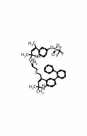 C=CCSCC1=CC(C)(C)Nc2ccc(-c3ccccc3-c3ccccc3)cc21.CC1=CC(C)(C)Nc2ccc(OS(=O)(=O)C(F)(F)F)cc21